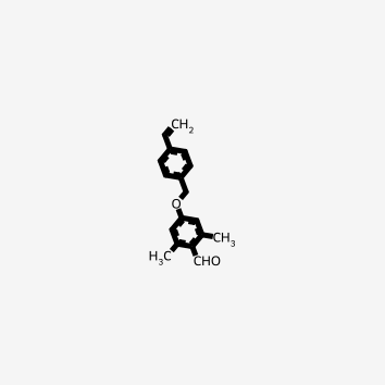 C=Cc1ccc(COc2cc(C)c(C=O)c(C)c2)cc1